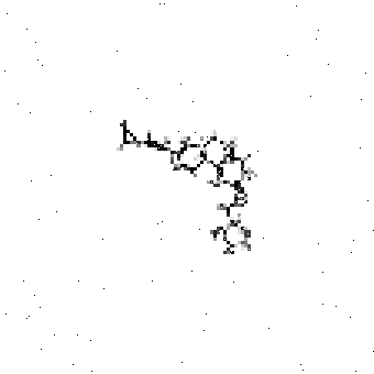 C(#CC1CC1)c1ccc2c(c1)CCN1CN=C(OCC3CCCO3)C=C21